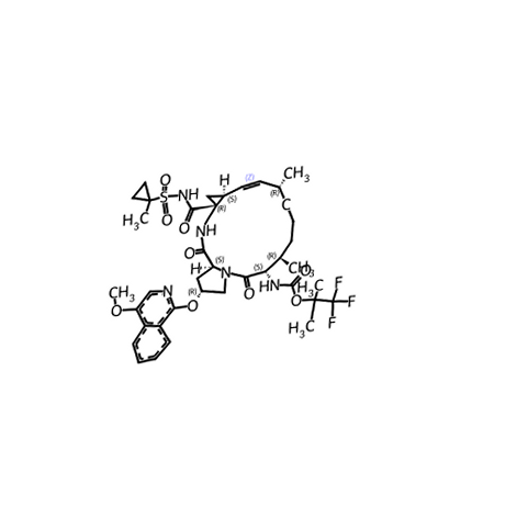 COc1cnc(O[C@@H]2C[C@H]3C(=O)N[C@]4(C(=O)NS(=O)(=O)C5(C)CC5)C[C@H]4/C=C\[C@H](C)CCC[C@@H](C)[C@H](NC(=O)OC(C)(C)C(F)(F)F)C(=O)N3C2)c2ccccc12